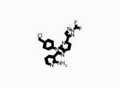 Nc1ncccc1-c1nc2ccc(-c3cnn(C(F)F)n3)nc2n1-c1ccc(CCl)cc1